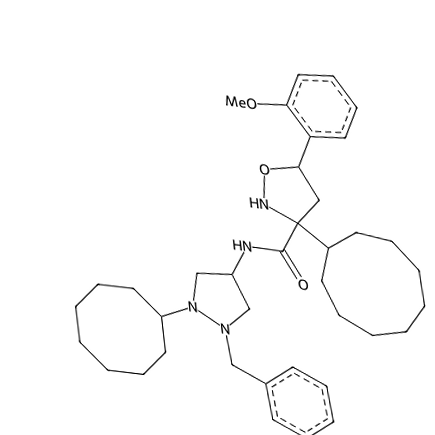 COc1ccccc1C1CC(C(=O)NC2CN(Cc3ccccc3)N(C3CCCCCCC3)C2)(C2CCCCCCCC2)NO1